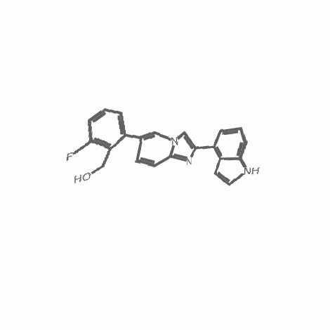 OCc1c(F)cccc1-c1ccc2nc(-c3cccc4[nH]ccc34)cn2c1